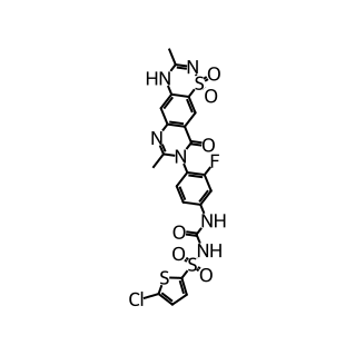 CC1=NS(=O)(=O)c2cc3c(=O)n(-c4ccc(NC(=O)NS(=O)(=O)c5ccc(Cl)s5)cc4F)c(C)nc3cc2N1